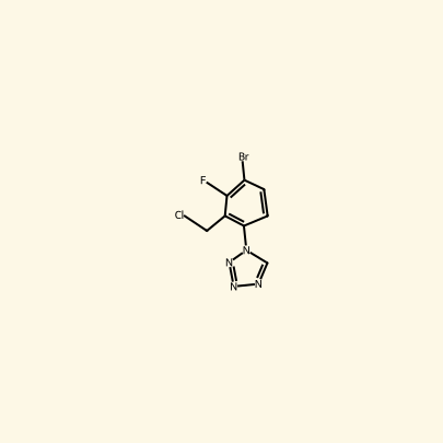 Fc1c(Br)ccc(-n2cnnn2)c1CCl